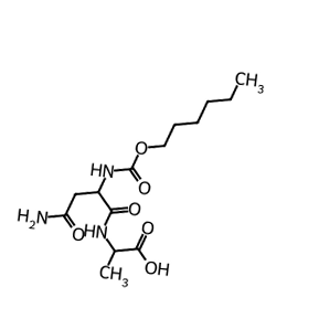 CCCCCCOC(=O)NC(CC(N)=O)C(=O)NC(C)C(=O)O